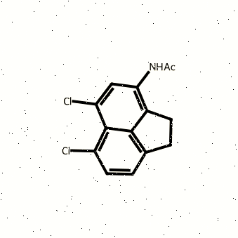 CC(=O)Nc1cc(Cl)c2c(Cl)ccc3c2c1CC3